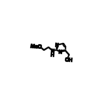 COCCNc1nccc(CO)n1